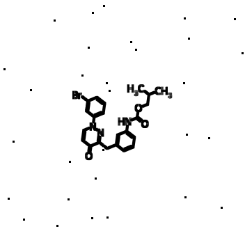 CC(C)COC(=O)Nc1cccc(Cc2nn(-c3cccc(Br)c3)ccc2=O)c1